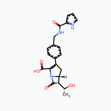 C[C@@H](O)[C@H]1C(=O)N2C(C(=O)O)=C(c3ccc(CNC(=O)c4ccc[nH]4)cc3)C[C@H]12